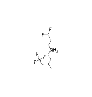 CC(CC[SiH2]CCC(F)F)C[Si](F)(F)F